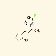 C/C=C\C(=C/CF)C(C)CCC1CCCC1CC